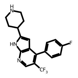 Fc1ccc(-c2c(C(F)(F)F)cnc3[nH]c(C4CCNCC4)cc23)cc1